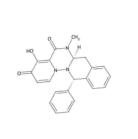 CN1C(=O)c2c(O)c(=O)ccn2N2[C@@H](c3ccccc3)c3ccccc3C[C@H]12